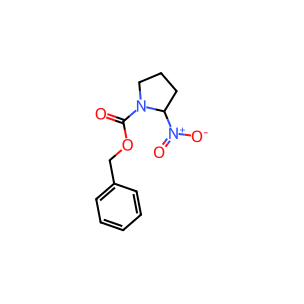 O=C(OCc1ccccc1)N1CCCC1[N+](=O)[O-]